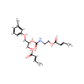 C/C=C/C(=O)OCCNC(=O)OC(COC(=O)/C=C/C)COc1cccc(CC)c1